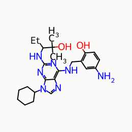 CCC(Nc1nc(NCc2cc(N)ccc2O)c2ncn(C3CCCCC3)c2n1)C(C)(C)O